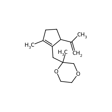 C=C(C)C1CCC(C)=C1CC1(C)COCCO1